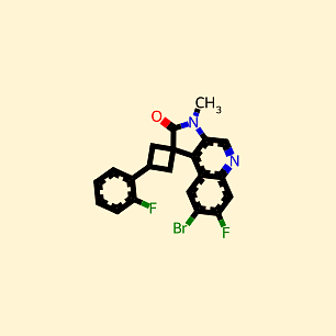 CN1C(=O)C2(CC(c3ccccc3F)C2)c2c1cnc1cc(F)c(Br)cc21